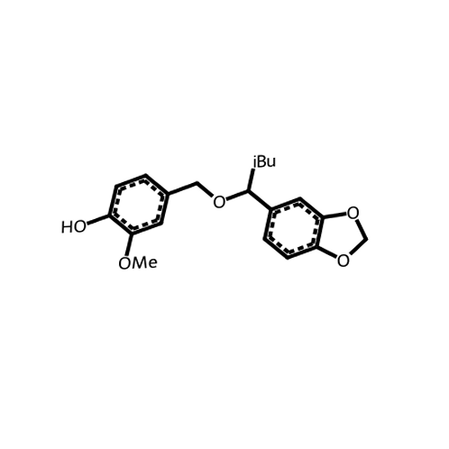 CCC(C)C(OCc1ccc(O)c(OC)c1)c1ccc2c(c1)OCO2